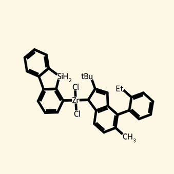 CCc1ccccc1-c1c(C)ccc2c1C=C(C(C)(C)C)[CH]2[Zr]([Cl])([Cl])[c]1cccc2c1[SiH2]c1ccccc1-2